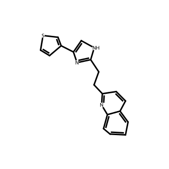 c1ccc2nc(CCc3nc(-c4ccsc4)c[nH]3)ccc2c1